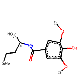 CCOc1cc(C(=O)N[C@@H](CCSC)C(=O)O)cc(OCC)c1O